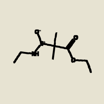 CCN[S+]([O-])C(C)(C)C(=O)OCC